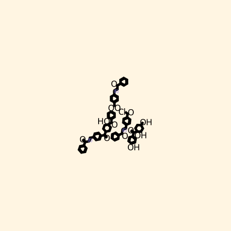 O=C(/C=C/c1ccc(C(=O)Oc2ccc(C(=O)C3(O)CCC(C(=O)c4ccc(/C=C/C(=O)c5ccccc5)cc4)CC3)cc2)cc1)c1ccccc1.O=C(Cl)c1ccc(/C=C/C(=O)c2ccccc2)cc1.O=C(c1ccc(O)cc1)C1(O)CCC(O)CC1